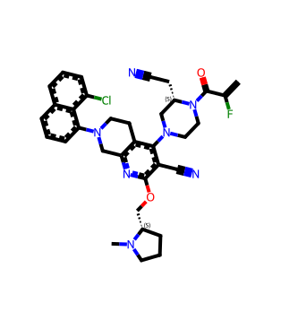 C=C(F)C(=O)N1CCN(c2c(C#N)c(OC[C@@H]3CCCN3C)nc3c2CCN(c2cccc4cccc(Cl)c24)C3)C[C@@H]1CC#N